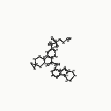 O=C(Nc1cccc2c1nc1n2CCCC1)c1ccc(NS(=O)(=O)CCO)cc1N1CCC2(CC1)CC2